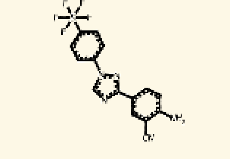 N#Cc1cc(-c2ncn(-c3ccc(S(F)(F)(F)(F)F)cc3)n2)ccc1N